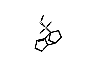 CO[Si](C)(C)C12CCC(C1)C1CCC=C12